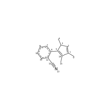 CC1=CC(C)C(c2ccccc2C#N)=C1C